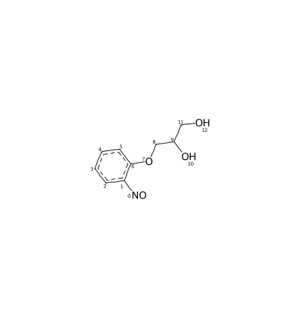 O=Nc1ccccc1OCC(O)CO